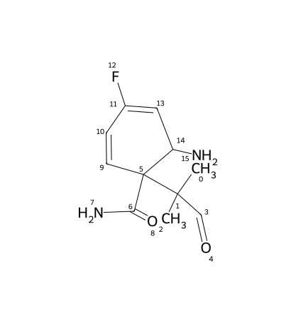 CC(C)(C=O)C1(C(N)=O)C=CC(F)=CC1N